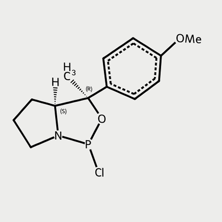 COc1ccc([C@@]2(C)OP(Cl)N3CCC[C@H]32)cc1